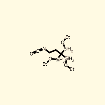 CCO[SiH2]C(CCN=C=O)([SiH2]OCC)[SiH2]OCC